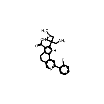 CN1CC(CN)(c2[nH]c3c(c2C(=O)O)CCc2cnc(-c4ccccc4F)cc2-3)C1